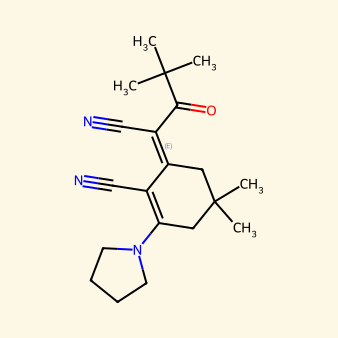 CC1(C)CC(N2CCCC2)=C(C#N)/C(=C(\C#N)C(=O)C(C)(C)C)C1